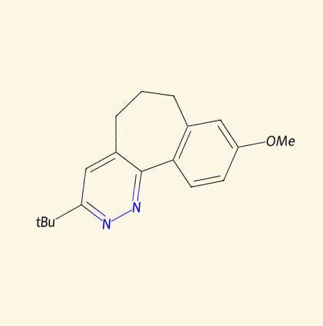 COc1ccc2c(c1)CCCc1cc(C(C)(C)C)nnc1-2